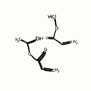 C=CC(=O)OC(C)O.C=CC(=O)OO